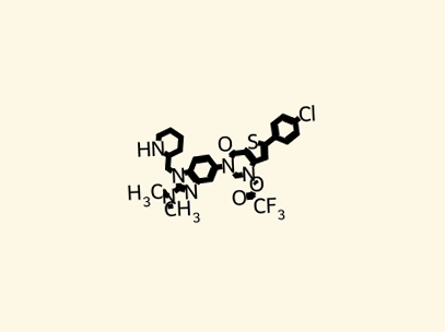 CN(C)c1nc2cc(N3CN(OC(=O)C(F)(F)F)c4cc(-c5ccc(Cl)cc5)sc4C3=O)ccc2n1CC1CCCCN1